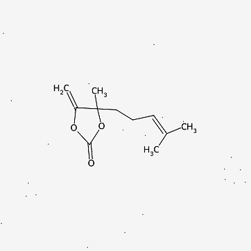 C=C1OC(=O)OC1(C)CCC=C(C)C